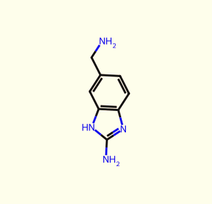 NCc1ccc2nc(N)[nH]c2c1